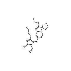 CCCCc1nc(Cl)c(C=O)n1Cc1ccc(C2(C(=O)OCC)CCCC2)cc1